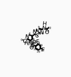 COc1ncc(-c2nn3cc(NC(C)=O)nc3s2)cc1NS(=O)(=O)c1ccc(F)cc1F